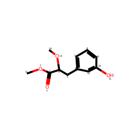 COC(=O)C(Cc1cccc(O)c1)OC